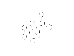 c1ccc([SiH2]c2ccc3c(-c4cc(-c5ccccc5)cc(-c5ccccc5)c4)c4ccccc4c(-c4cc5ccccc5c5ccccc45)c3c2)cc1